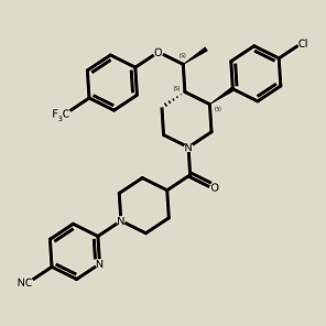 C[C@H](Oc1ccc(C(F)(F)F)cc1)[C@H]1CCN(C(=O)C2CCN(c3ccc(C#N)cn3)CC2)C[C@@H]1c1ccc(Cl)cc1